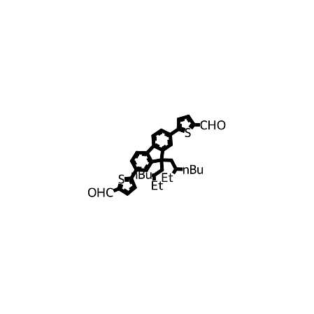 CCCCC(CC)CC1(CC(CC)CCCC)c2cc(-c3ccc(C=O)s3)ccc2-c2ccc(-c3ccc(C=O)s3)cc21